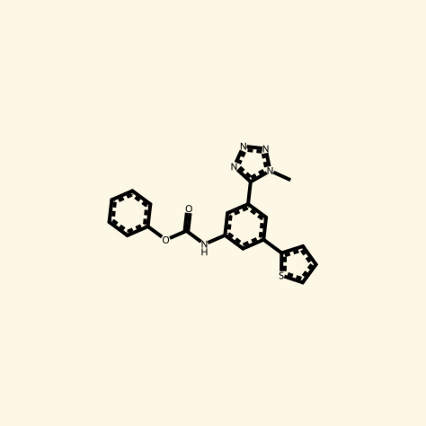 Cn1nnnc1-c1cc(NC(=O)Oc2ccccc2)cc(-c2cccs2)c1